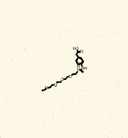 C=C(NCCOCCOCCOCCOCC)Nc1ccc(CC(=O)O)cc1